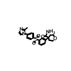 Cc1nccn1-c1ccc(S(=O)(=O)c2cccc(C3(C(N)=O)CCOCC3)c2)cc1